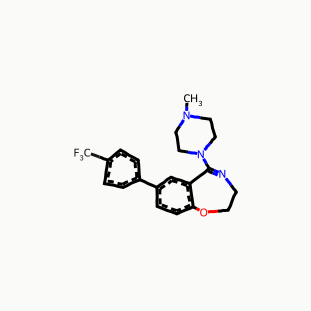 CN1CCN(C2=NCCOc3ccc(-c4ccc(C(F)(F)F)cc4)cc32)CC1